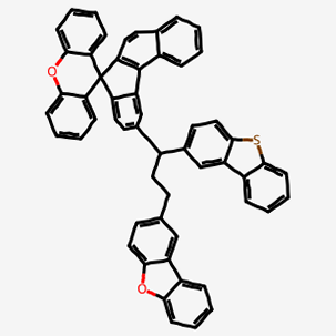 c1ccc2c(c1)Oc1ccccc1C21c2ccc(C(CCc3ccc4oc5ccccc5c4c3)c3ccc4sc5ccccc5c4c3)cc2-c2c1ccc1ccccc21